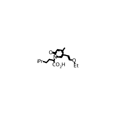 CCO/C=C/c1cn(C(CCC(C)C)C(=O)O)c(=O)cc1C